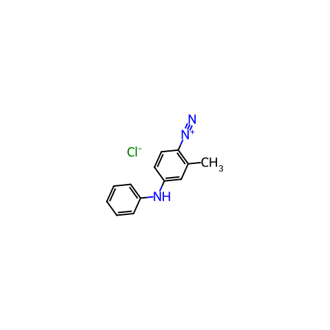 Cc1cc(Nc2ccccc2)ccc1[N+]#N.[Cl-]